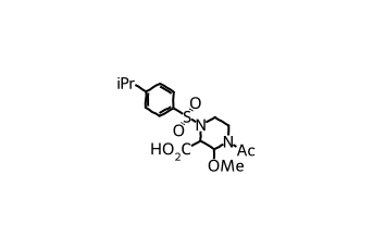 COC1C(C(=O)O)N(S(=O)(=O)c2ccc(C(C)C)cc2)CCN1C(C)=O